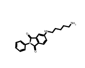 NCCCCCNc1ccc2c(c1)C(=O)N(c1ccccc1)C2=O